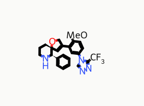 COc1ccc(-n2cnnc2C(F)(F)F)cc1C1=C[C@@]2(CCCN[C@H]2c2ccccc2)OC1